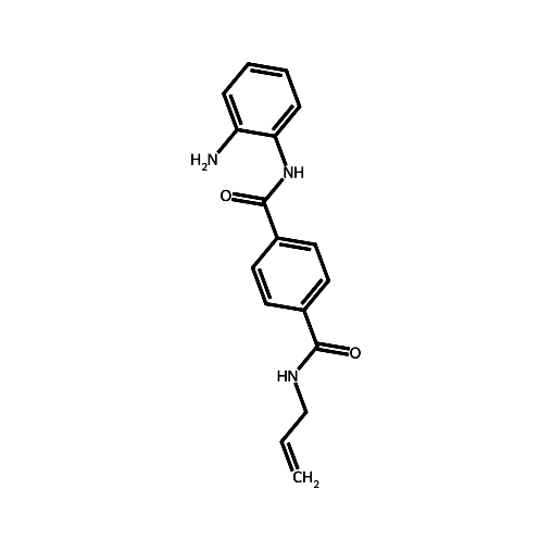 C=CCNC(=O)c1ccc(C(=O)Nc2ccccc2N)cc1